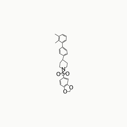 Cc1cccc(-c2ccc(C3CCN(S(=O)(=O)c4ccc5c(c4)OCO5)CC3)cc2)c1C